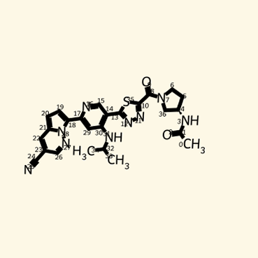 CC(=O)N[C@H]1CCN(C(=O)c2nnc(-c3cnc(-c4ccc5cc(C#N)cnn45)cc3NC(C)C)s2)C1